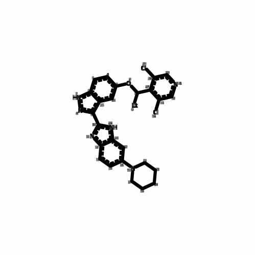 CCC(Oc1ccc2[nH]nc(-c3nc4ccc(N5CCCCC5)cc4[nH]3)c2c1)c1c(Cl)cncc1Cl